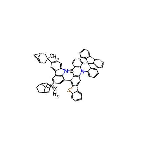 CC1C2CCC1CC(C)(c1cc3c4c(c1)c1cc(C5(C)CC=C6CC6C5)ccc1n4B1c4cccc5c4N(c4ccccc4C54c5ccccc5-c5ccccc54)c4cc5c(sc6ccccc65)c-3c41)C2